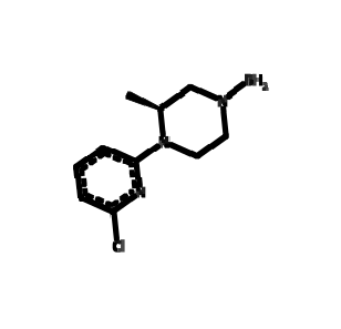 BN1CCN(c2cccc(Cl)n2)[C@@H](C)C1